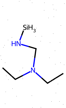 CCN(CC)CN[SiH3]